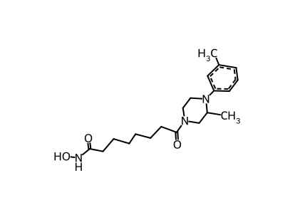 Cc1cccc(N2CCN(C(=O)CCCCCCC(=O)NO)CC2C)c1